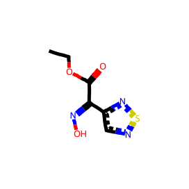 CCOC(=O)/C(=N/O)c1cnsn1